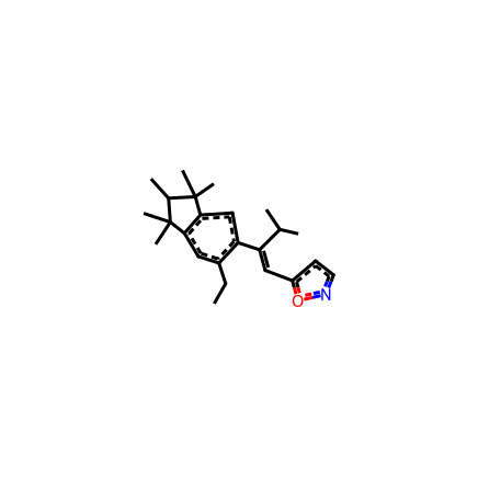 CCc1cc2c(cc1C(=Cc1ccno1)C(C)C)C(C)(C)C(C)C2(C)C